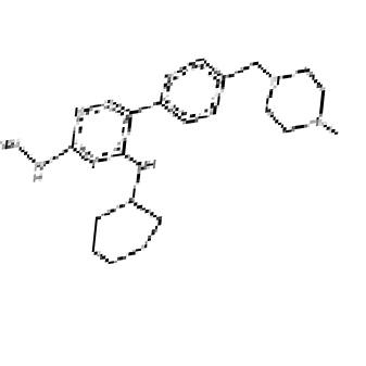 CCCCNc1ncc(-c2ccc(CN3CCN(C)CC3)cn2)c(NC2CCCCC2)n1